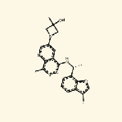 Cc1nnc(N[C@H](C)c2cccc3c(F)coc23)c2cc(N3CC(C)(O)C3)cnc12